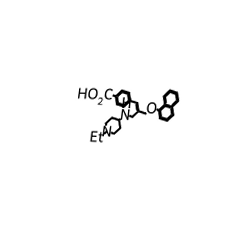 CCN1CCC(NCC(=Cc2ccc(C(=O)O)cc2)COc2cccc3ccccc23)CC1